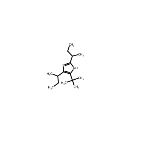 CCC(C)c1nc(C(C)CC)c(C(C)(C)C)[nH]1